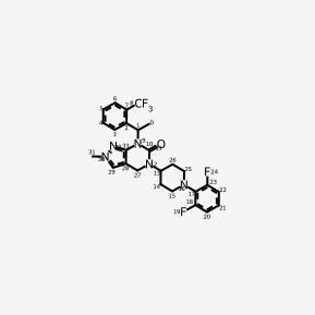 CC(c1ccccc1C(F)(F)F)N1C(=O)N(C2CCN(c3c(F)cccc3F)CC2)Cc2cn(C)nc21